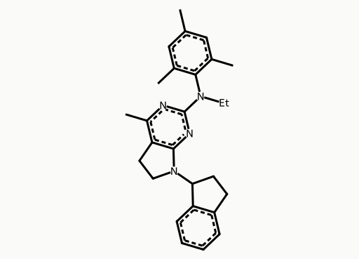 CCN(c1nc(C)c2c(n1)N(C1CCc3ccccc31)CC2)c1c(C)cc(C)cc1C